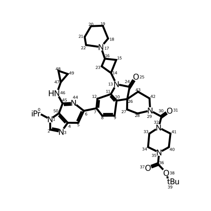 CC(C)n1cnc2cc(-c3ccc4c(c3)N(C3CC(N5CCCCC5)C3)C(=O)C43CCN(C(=O)N4CCN(C(=O)OC(C)(C)C)CC4)CC3)nc(NC3CC3)c21